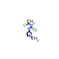 C=C(Cl)/N=C(Cl)\N=C1\C=CN(C)C1